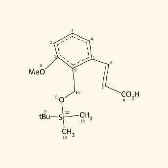 COc1cccc(C=CC(=O)O)c1CO[Si](C)(C)C(C)(C)C